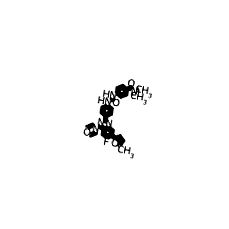 Cc1ccc(-c2cc3nc(-c4ccc(NC(=O)Nc5ccc(C(=O)N(C)C)cc5)cc4)nc(N4CCOCC4)c3cc2F)o1